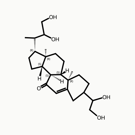 CC(C(O)CO)[C@H]1CC[C@H]2[C@@H]3C(=O)C=C4CC(C(O)CO)CC[C@]4(C)[C@H]3CC[C@]12C